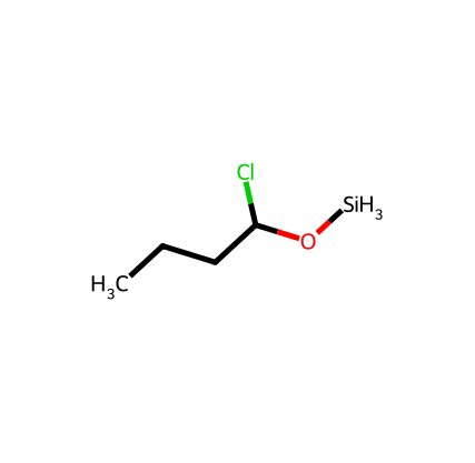 CCCC(Cl)O[SiH3]